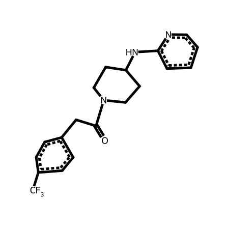 O=C(Cc1ccc(C(F)(F)F)cc1)N1CCC(Nc2ccccn2)CC1